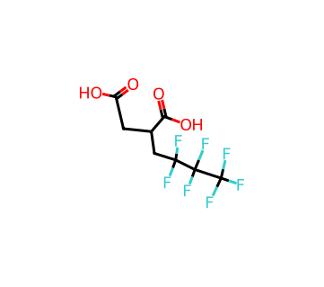 O=C(O)CC(CC(F)(F)C(F)(F)C(F)(F)F)C(=O)O